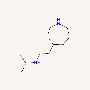 CC(C)NCCC1CCCNCC1